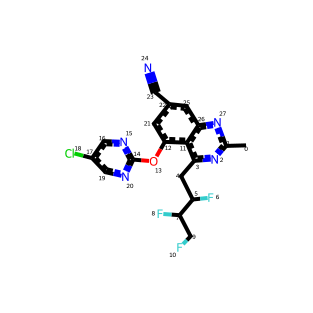 Cc1nc(CC(F)C(F)CF)c2c(Oc3ncc(Cl)cn3)cc(C#N)cc2n1